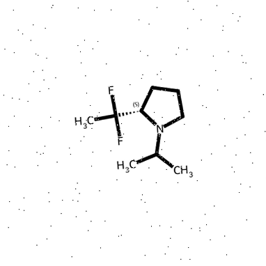 CC(C)N1CCC[C@H]1C(C)(F)F